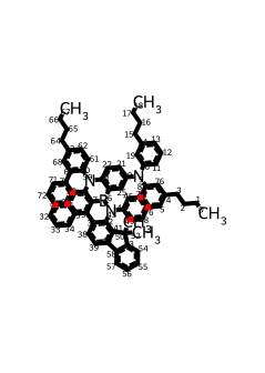 CCCCc1cccc(N(c2cccc(CCCC)c2)c2ccc3c(c2)B2c4c(cc5ccccc5c4-c4ccc5c(c4N2c2ccccc2)C(C)(C)c2ccccc2-5)N3c2ccc(CCCC)cc2-c2ccccc2)c1